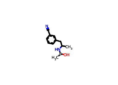 CB(O)NC(C)Cc1cccc(C#N)c1